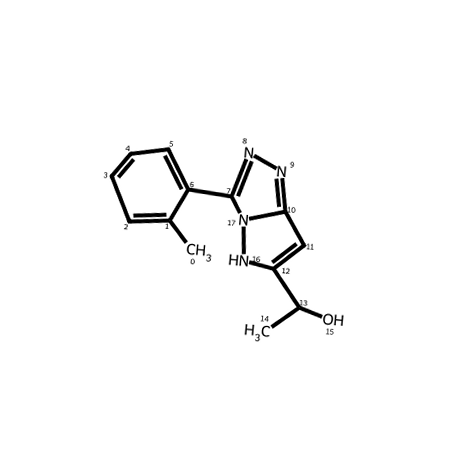 Cc1ccccc1-c1nnc2cc(C(C)O)[nH]n12